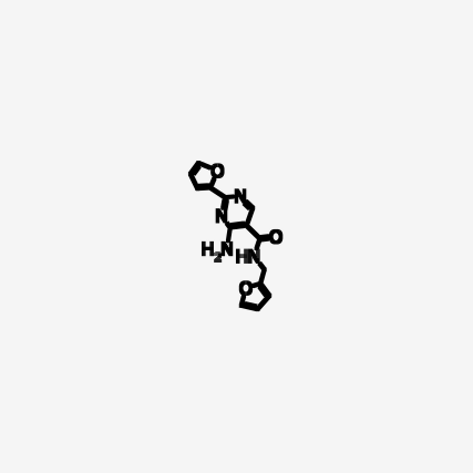 Nc1nc(-c2ccco2)ncc1C(=O)NCc1ccco1